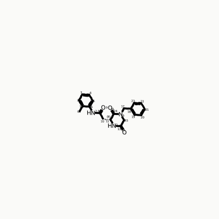 Cc1ccccc1NC(=O)C[C@H]1NC(=O)CN(Cc2ccccc2)C1=O